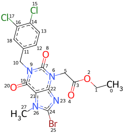 CCOC(=O)Cn1c(=O)n(Cc2ccc(Cl)c(Cl)c2)c(=O)c2c1nc(Br)n2C